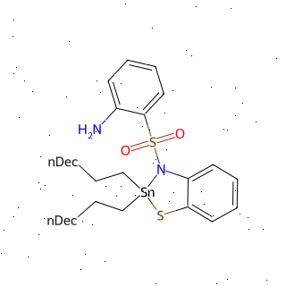 CCCCCCCCCCC[CH2][Sn]1([CH2]CCCCCCCCCCC)[S]c2ccccc2[N]1S(=O)(=O)c1ccccc1N